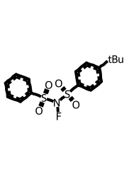 CC(C)(C)c1ccc(S(=O)(=O)N(F)S(=O)(=O)c2ccccc2)cc1